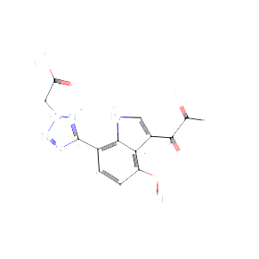 COc1ccc(-c2nnn(CC(=O)O)n2)c2[nH]cc(C(=O)C(C)=O)c12